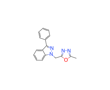 Cc1nnc(Cn2nc(-c3ccccc3)c3ccccc32)o1